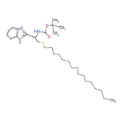 CCCCCCCCCCCCCCCCSCC(NC(=O)OC(C)(C)C)c1nc2ccccc2[nH]1